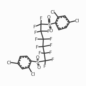 O=S(=O)(c1ccc(Cl)cc1Cl)C(F)(F)C(F)(F)C(F)(F)C(F)(F)C(F)(F)C(F)(F)S(=O)(=O)c1ccc(Cl)cc1Cl